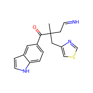 CC(CC=N)(Cc1cscn1)C(=O)c1ccc2[nH]ccc2c1